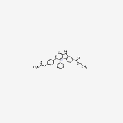 CCOC(=O)c1ccc2c(c1)NC(=O)/C2=C(\Nc1ccc(CC(N)=O)cc1)c1ccccc1